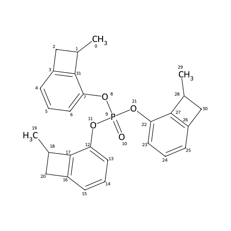 CC1Cc2cccc(OP(=O)(Oc3cccc4c3C(C)C4)Oc3cccc4c3C(C)C4)c21